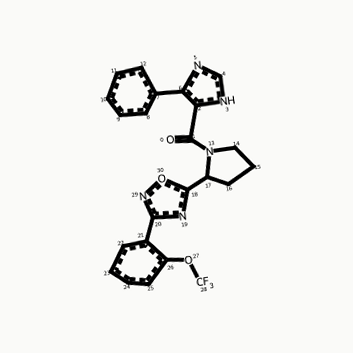 O=C(c1[nH]cnc1-c1ccccc1)N1CCCC1c1nc(-c2ccccc2OC(F)(F)F)no1